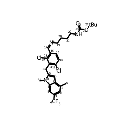 Cc1cc(C(F)(F)F)cc2c1cc(Cc1c(Cl)ccc(/C=N\CCCCNC(=O)OC(C)(C)C)c1Cl)n2C